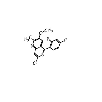 COc1cc2c(-c3ccc(F)cc3F)nc(Cl)cc2nc1C